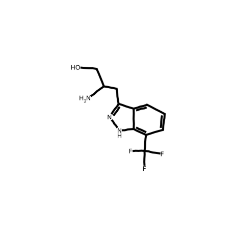 NC(CO)Cc1n[nH]c2c(C(F)(F)F)cccc12